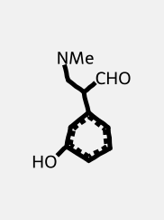 CNCC(C=O)c1cccc(O)c1